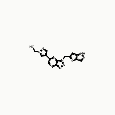 N#CCn1cc(-c2cnc3nnn(Cc4cc5[nH]ncc5s4)c3n2)cn1